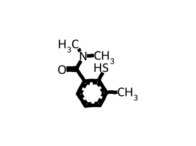 Cc1cccc(C(=O)N(C)C)c1S